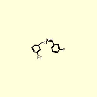 CCc1cccc(CO/N=[C]\c2cccc(F)c2)c1